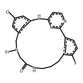 CCN1CC(=O)NCCCc2cc(ccc2F)-c2nccc(n2)Nc2cc(Cl)cc(c2)C1